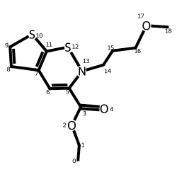 CCOC(=O)C1=Cc2ccsc2SN1CCCOC